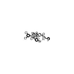 C[C@@]1(Cc2ccc(Br)cc2)C(=O)N(c2cc(Cl)cc(Cl)c2)c2ncc(S(=O)(=O)N3CCN(C(=O)NCCc4cccs4)CC3)n21